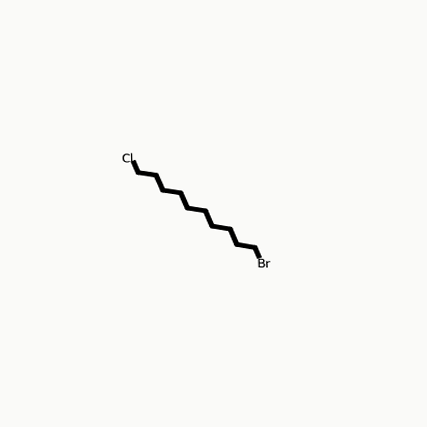 ClCCCCCCCCCCBr